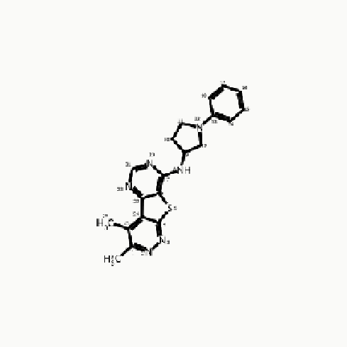 Cc1nnc2sc3c(NC4CCN(c5ccccc5)C4)ncnc3c2c1C